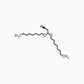 CCCCCCCCOC(CC#N)OCCCCCCCC